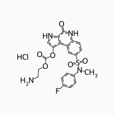 CN(c1ccc(F)cc1)S(=O)(=O)c1ccc2[nH]c(=O)c3[nH]cc(OC(=O)OCCN)c3c2c1.Cl